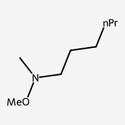 CCCCCCN(C)OC